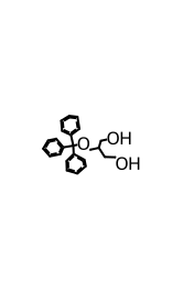 OCCC(CO)COC(c1ccccc1)(c1ccccc1)c1ccccc1